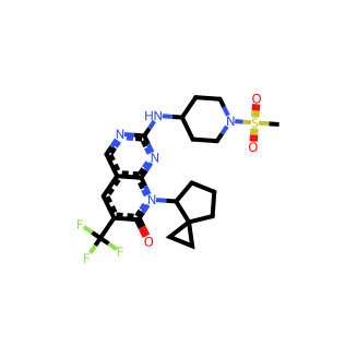 CS(=O)(=O)N1CCC(Nc2ncc3cc(C(F)(F)F)c(=O)n(C4CCCC45CC5)c3n2)CC1